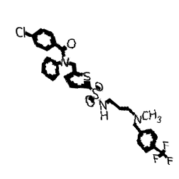 CN(CCCNS(=O)(=O)c1ccc(CN(C(=O)c2ccc(Cl)cc2)c2ccccc2)s1)Cc1ccc(C(F)(F)F)cc1